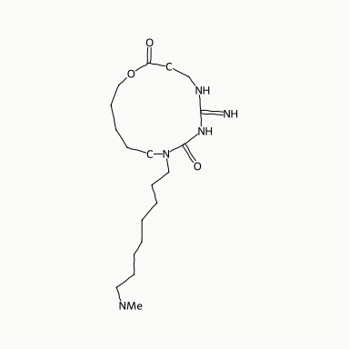 CNCCCCCCCCN1CCCCCOC(=O)CCNC(=N)NC1=O